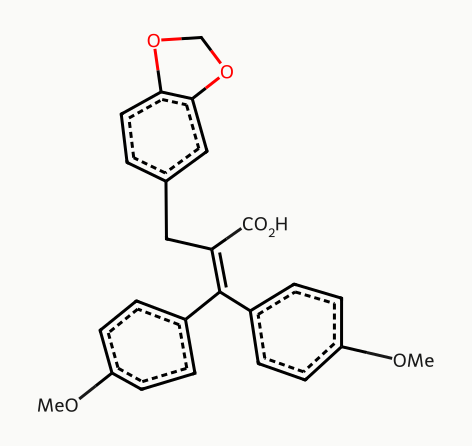 COc1ccc(C(=C(Cc2ccc3c(c2)OCO3)C(=O)O)c2ccc(OC)cc2)cc1